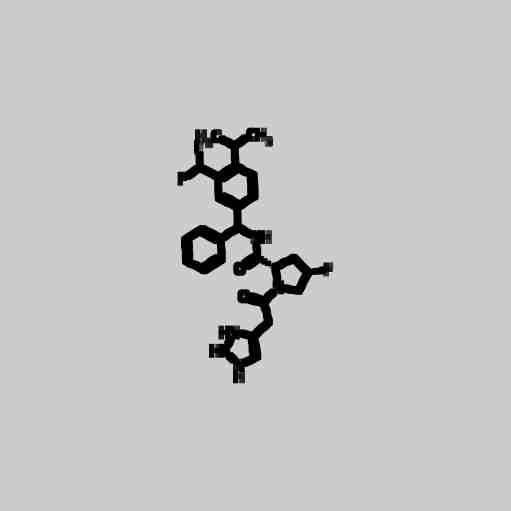 CC(C)c1ccc(C(NC(=O)[C@@H]2C[C@@H](F)CN2C(=O)CC2=CNNN2)c2ccccc2)cc1C(F)F